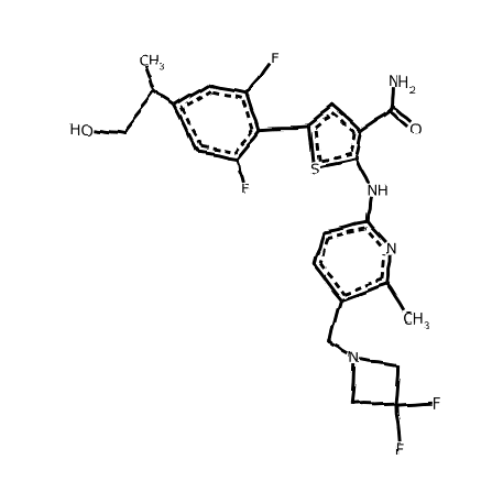 Cc1nc(Nc2sc(-c3c(F)cc(C(C)CO)cc3F)cc2C(N)=O)ccc1CN1CC(F)(F)C1